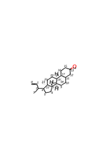 C=CC(C)C1CC[C@H]2[C@@H]3CCC4CC(=O)CC[C@]4(C)[C@@H]3CC[C@]12C